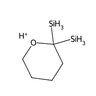 [H+].[SiH3]C1([SiH3])CCCCO1